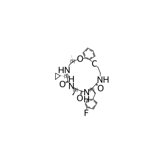 C[C@H]1CN[C@@H](C2CC2)C(=O)N[C@H](C)C(=O)N[C@H](Cc2ccc(F)cc2)C(=O)NCCCc2ccccc2O1